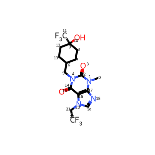 Cn1c(=O)n(CC2CCC(O)(C(F)(F)F)CC2)c(=O)c2c1ncn2CC(F)(F)F